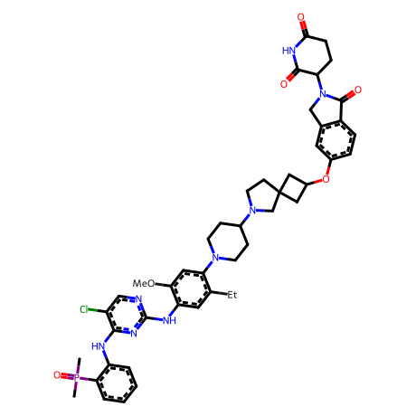 CCc1cc(Nc2ncc(Cl)c(Nc3ccccc3P(C)(C)=O)n2)c(OC)cc1N1CCC(N2CCC3(CC(Oc4ccc5c(c4)CN(C4CCC(=O)NC4=O)C5=O)C3)C2)CC1